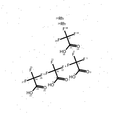 O=C(O)C(F)(F)F.O=C(O)C(F)(F)F.O=C(O)C(F)(F)F.O=C(O)C(F)(F)F.[Rh].[Rh]